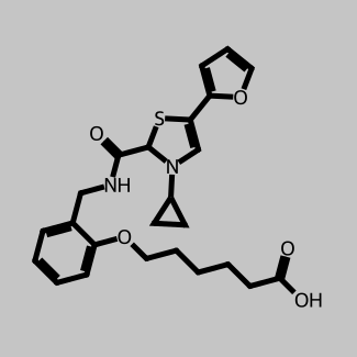 O=C(O)CCCCCOc1ccccc1CNC(=O)C1SC(c2ccco2)=CN1C1CC1